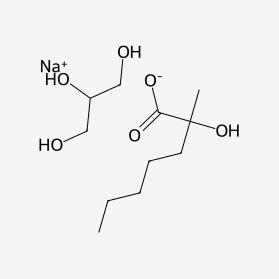 CCCCCC(C)(O)C(=O)[O-].OCC(O)CO.[Na+]